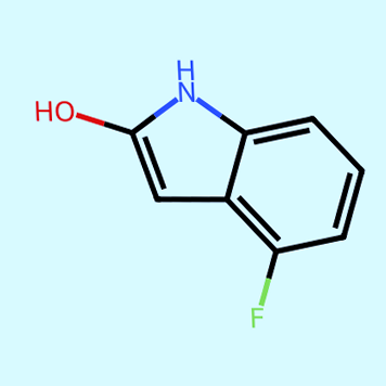 Oc1cc2c(F)cccc2[nH]1